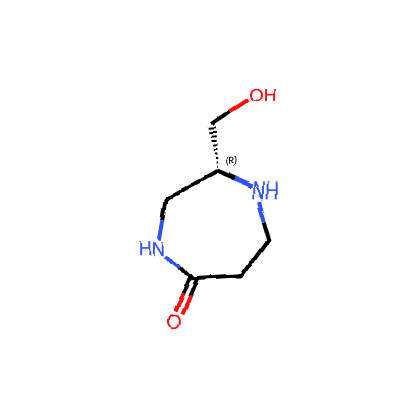 O=C1CCN[C@@H](CO)CN1